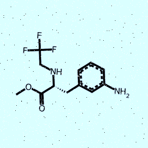 COC(=O)[C@@H](Cc1cccc(N)c1)NCC(F)(F)F